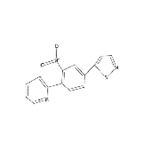 O=[N+]([O-])c1cc(-c2ccns2)ccc1-c1ccccn1